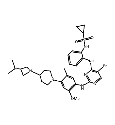 COc1cc(N2CCC(N3CC(N(C)C)C3)CC2)c(C)cc1Nc1ncc(Br)c(Nc2ccccc2NS(=O)(=O)C2CC2)n1